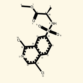 COC(=O)[C@@H](C)NS(=O)(=O)c1ccc2c(Cl)cnc(Cl)c2c1